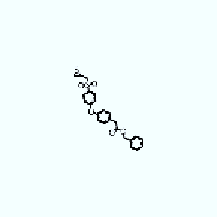 O=C(Cc1ccc(Oc2ccc(S(=O)(=O)CC3CS3)cc2)cc1)OCc1ccccc1